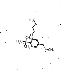 CCCCOc1cc(COC)ccc1C(C)(C)C